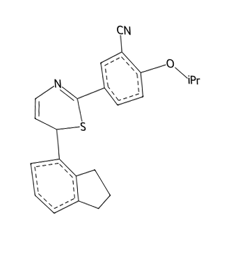 CC(C)Oc1ccc(C2=NC=CC(c3cccc4c3CCC4)S2)cc1C#N